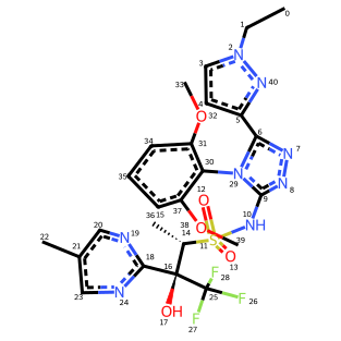 CCn1ccc(-c2nnc(NS(=O)(=O)[C@@H](C)[C@@](O)(c3ncc(C)cn3)C(F)(F)F)n2-c2c(OC)cccc2OC)n1